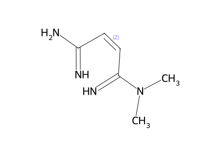 CN(C)C(=N)/C=C\C(=N)N